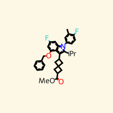 COC(=O)C1CC2(C1)CC(c1c(C(C)C)n(-c3ccc(F)c(C)c3)c3cc(F)cc(OCc4ccccc4)c13)C2